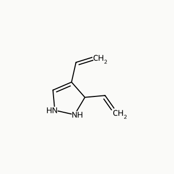 C=CC1=CNNC1C=C